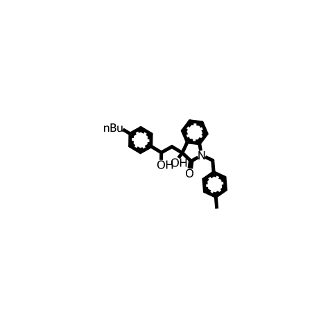 CCCCc1ccc(C(O)CC2(O)C(=O)N(Cc3ccc(C)cc3)c3ccccc32)cc1